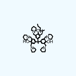 CCCCN(C)Cc1cc(C(C)(c2cc(CN3CCCCC3)c(O)c(CN3CCCCC3)c2)c2cc(CN3CCCCC3)c(O)c(CN3CCCCC3)c2)cc(CN2CCCCC2)c1O